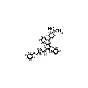 CC(O)N1CCC(C(Sc2cnc(Nc3nc(CCc4ccccc4)cs3)c(Oc3ccccc3)c2)c2ccccn2)CC1